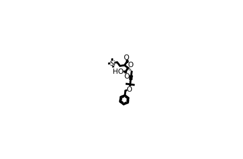 CC(C)(C#CC[C@@]1(C(=O)O)OC(=O)C1CC[Si](C)(C)C)OCc1ccccc1